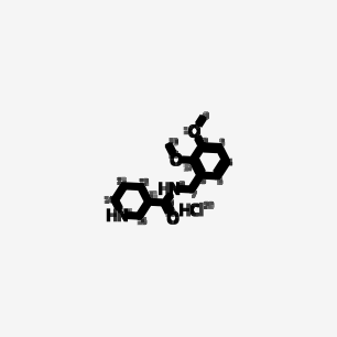 COc1cccc(CNC(=O)C2CCCNC2)c1OC.Cl